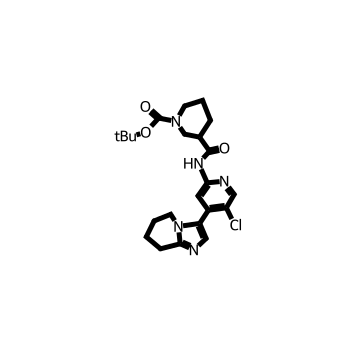 CC(C)(C)OC(=O)N1CCCC(C(=O)Nc2cc(-c3cnc4n3CCCC4)c(Cl)cn2)C1